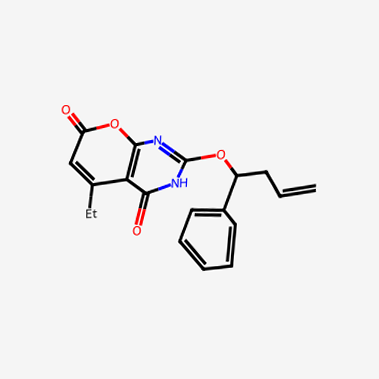 C=CCC(Oc1nc2oc(=O)cc(CC)c2c(=O)[nH]1)c1ccccc1